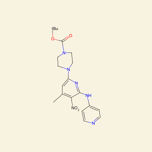 Cc1cc(N2CCN(C(=O)OC(C)(C)C)CC2)nc(Nc2ccncc2)c1[N+](=O)[O-]